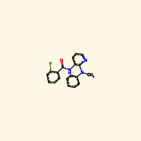 CN(c1ccccc1)c1ncccc1NC(=O)c1ccccc1F